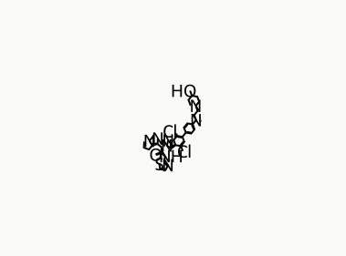 CN(CCN1CCC(O)CC1)c1ccc(-c2cc(Cl)c3cn(C(C(=O)Nc4nccs4)c4ncn5c4CCC5)nc3c2Cl)cc1